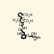 CC(C)NCC(O)COc1cccc2[nH]c(C(=O)NCCC(N[C@@H](C)C(=O)N3CCC[C@H]3C(=O)O)C(=O)O)cc12